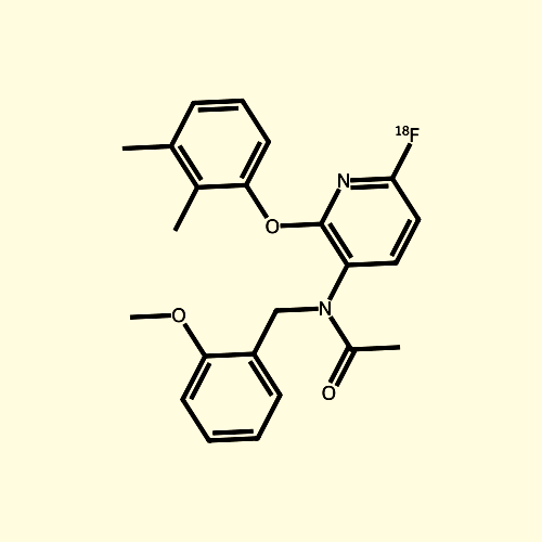 COc1ccccc1CN(C(C)=O)c1ccc([18F])nc1Oc1cccc(C)c1C